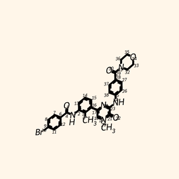 Cc1c(NC(=O)c2ccc(Br)cc2)cccc1-c1cn(C)c(=O)c(Nc2ccc(C(=O)N3CCOCC3)cc2)n1